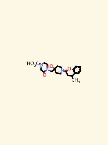 CC(CC(=O)N1CCC(O)(CN2CCN(C(=O)O)CC2=O)CC1)c1ccccc1